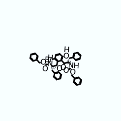 O=C(N[C@@H](Cc1ccccc1)C(=O)c1c(O)ccc(Br)c1C(=O)[C@H](Cc1ccccc1)NC(=O)OCc1ccccc1)OCc1ccccc1